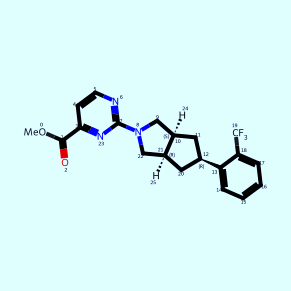 COC(=O)c1ccnc(N2C[C@H]3C[C@@H](c4ccccc4C(F)(F)F)C[C@H]3C2)n1